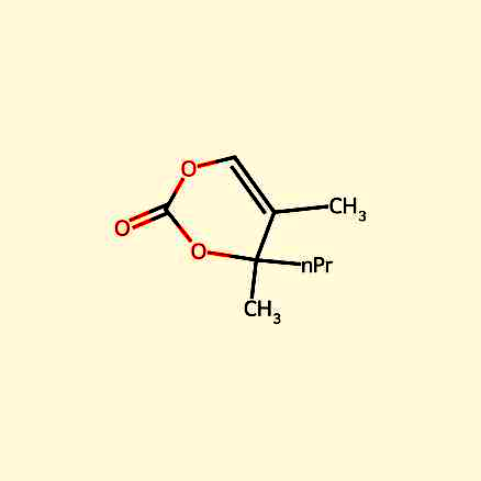 CCCC1(C)OC(=O)OC=C1C